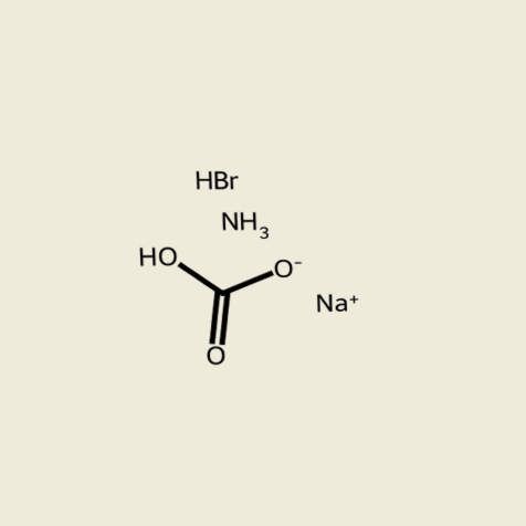 Br.N.O=C([O-])O.[Na+]